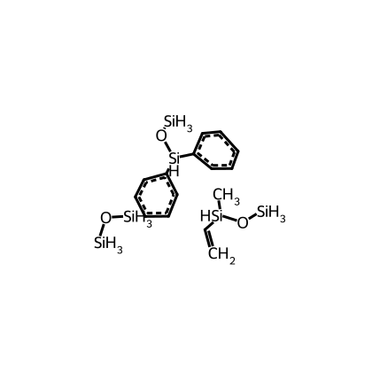 C=C[SiH](C)O[SiH3].[SiH3]O[SiH3].[SiH3]O[SiH](c1ccccc1)c1ccccc1